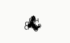 Cc1c(C(=O)NN2CCCCC2)nn(-c2ccc(Cl)cc2Cl)c1-c1ccc(OS(=O)(=O)CCCF)cc1